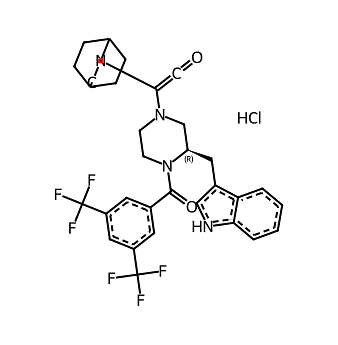 Cl.O=C=C(N1CC2CCC(CC2)C1)N1CCN(C(=O)c2cc(C(F)(F)F)cc(C(F)(F)F)c2)[C@H](Cc2c[nH]c3ccccc23)C1